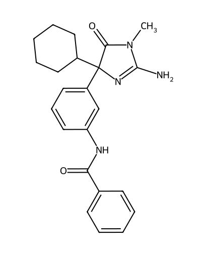 CN1C(=O)C(c2cccc(NC(=O)c3ccccc3)c2)(C2CCCCC2)N=C1N